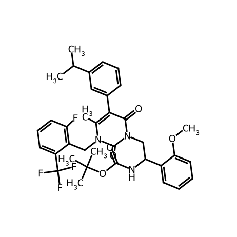 COc1ccccc1C(Cn1c(=O)c(-c2cccc(C(C)C)c2)c(C)n(Cc2c(F)cccc2C(F)(F)F)c1=O)NC(=O)OC(C)(C)C